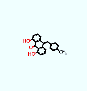 O=C1c2c(O)cccc2C(=Cc2ccc(C(F)(F)F)cc2)c2cccc(O)c21